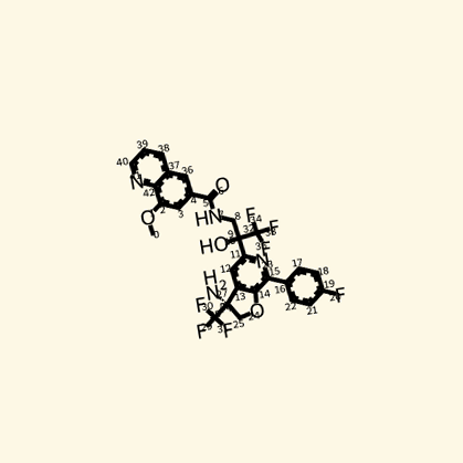 COc1cc(C(=O)NCC(O)(c2cc3c(c(-c4ccc(F)cc4)n2)OC[C@@]3(N)C(F)(F)F)C(F)(F)F)cc2cccnc12